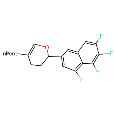 CCCCCC1=COC(c2cc(F)c3c(F)c(F)c(F)cc3c2)CC1